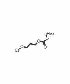 CCCCCCOC(=O)OCCCOCC